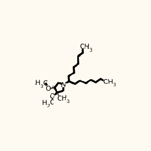 CCCCCCCC(CCCCCCC)N1C[C@H](OC)[C@](C)(OC)C1